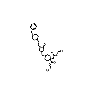 CCOC(=O)CC1(C(=O)OCC)CCN(CC2CN(CCC3CCN(Cc4ccccc4)CC3)C(=O)O2)CC1